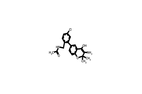 CC(=O)NCc1ccc(Cl)cc1-c1ccc2c(c1)C(O)=C(N)C(C)(C)O2